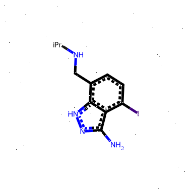 CC(C)NCc1ccc(I)c2c(N)n[nH]c12